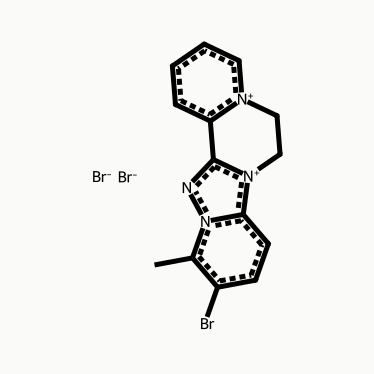 Cc1c(Br)ccc2n1nc1[n+]2CC[n+]2ccccc2-1.[Br-].[Br-]